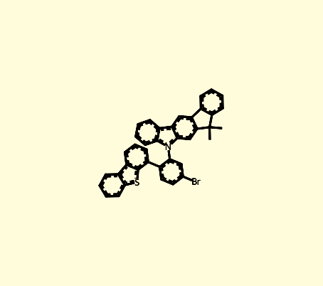 CC1(C)c2ccccc2-c2cc3c4ccccc4n(-c4cc(Br)ccc4-c4cccc5c4sc4ccccc45)c3cc21